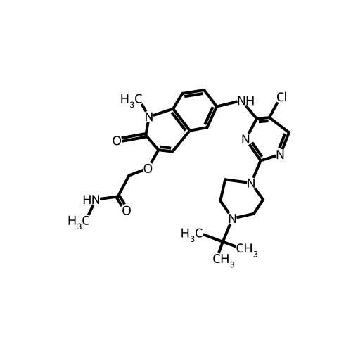 CNC(=O)COc1cc2cc(Nc3nc(N4CCN(C(C)(C)C)CC4)ncc3Cl)ccc2n(C)c1=O